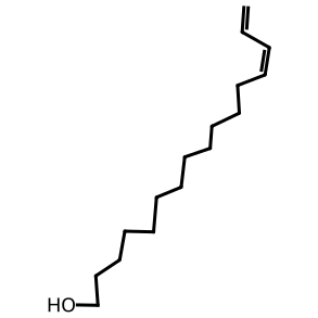 C=C/C=C\CCCCCCCCCCCCO